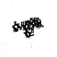 Cc1cncc(-c2nc(NCc3cc(C)ccn3)c3ncn(C4[C@H]5C[C@@]5(C(=O)NC(C)C)[C@@H](O)[C@H]4O)c3n2)c1